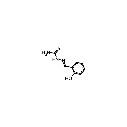 NC(=S)NN=Cc1ccccc1O